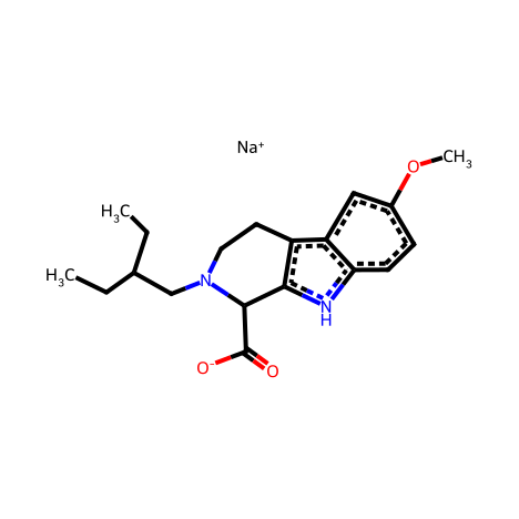 CCC(CC)CN1CCc2c([nH]c3ccc(OC)cc23)C1C(=O)[O-].[Na+]